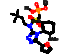 CCOP(=O)(CS(=O)(=O)N(CC[Si](C)(C)C)c1nnc(-c2ccco2)n1-c1c(OC)cccc1OC)OCC